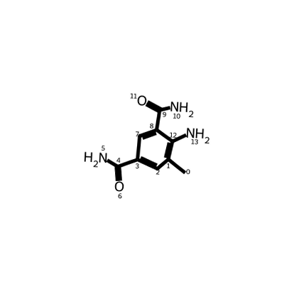 Cc1cc(C(N)=O)cc(C(N)=O)c1N